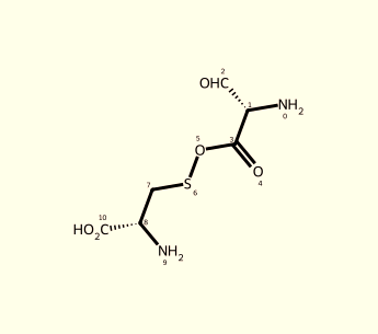 N[C@@H](C=O)C(=O)OSC[C@H](N)C(=O)O